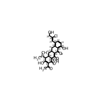 CN(C)C1C(O)=C(C(N)=O)C(=O)[C@@]2(O)C(O)=C3C(=O)c4c(O)ccc(/C=C(\Cl)CO)c4CC3CC12